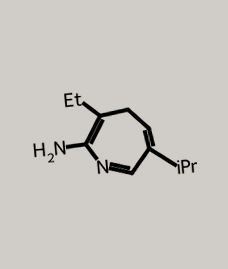 CCC1=C(N)N=CC(C(C)C)=CC1